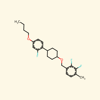 CCCCOc1ccc(C2CCC(OCc3ccc(C)c(F)c3F)CC2)c(F)c1